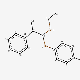 CCSC(Sc1ccc(C)cc1)C(C)c1ccccc1